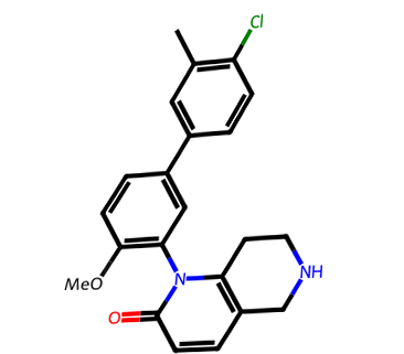 COc1ccc(-c2ccc(Cl)c(C)c2)cc1-n1c2c(ccc1=O)CNCC2